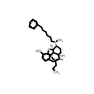 C=CCN1CC[C@]23c4c5ccc(O)c4O[C@H]2[C@H](N(C)CCCCCCc2ccccc2)CC[C@@]3(O)[C@H]1C5